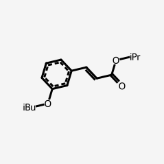 CCC(C)Oc1cccc(C=CC(=O)OC(C)C)c1